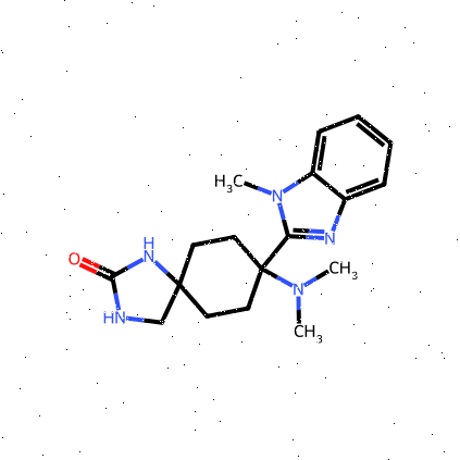 CN(C)C1(c2nc3ccccc3n2C)CCC2(CC1)CNC(=O)N2